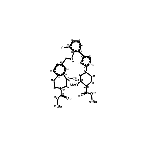 CO[C@H]1CN(c2nc(-c3cccc(Cl)c3OCc3ccc4c(c3)[C@@H](C)CN(C(=O)OC(C)(C)C)CC4)cs2)CC[C@H]1C(=O)OC(C)(C)C